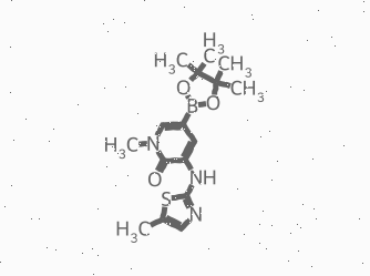 Cc1cnc(Nc2cc(B3OC(C)(C)C(C)(C)O3)cn(C)c2=O)s1